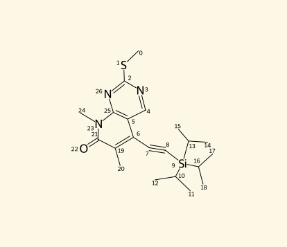 CSc1ncc2c(C#C[Si](C(C)C)(C(C)C)C(C)C)c(C)c(=O)n(C)c2n1